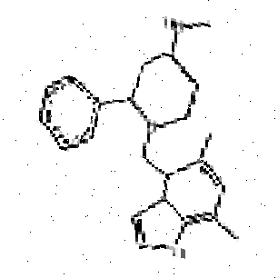 CNC1CCN(CC2C(C)=CC(C)=C3NC=CC32)C(c2ccccc2)C1